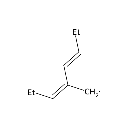 [CH2]C(=C/CC)/C=C/CC